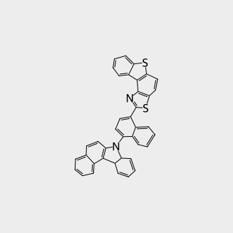 C1=CC2c3c(ccc4ccccc34)N(c3ccc(-c4nc5c(ccc6sc7ccccc7c65)s4)c4ccccc34)C2C=C1